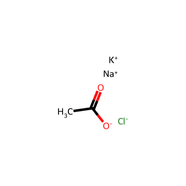 CC(=O)[O-].[Cl-].[K+].[Na+]